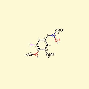 CCCCOc1c(I)cc(CN(O)C=O)cc1OC